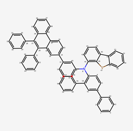 c1ccc(-c2ccc(N(c3cccc(-c4ccc5c(c4)c(-c4ccccc4)c(-c4ccccc4)c4ccccc45)c3)c3cccc4c3sc3ccccc34)c(-c3ccccc3)c2)cc1